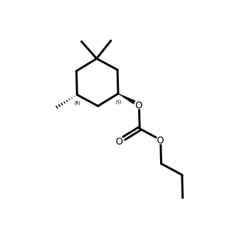 CCCOC(=O)O[C@H]1C[C@H](C)CC(C)(C)C1